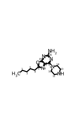 CCCCCc1nc2c(N3CCNCC3)nc(N)nc2o1